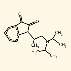 CC(CN(C(C)C)C(C)C)N1C(=O)C(=O)c2ccccc21